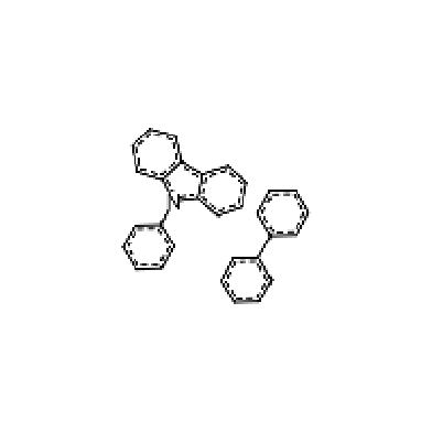 c1ccc(-c2ccccc2)cc1.c1ccc(-n2c3ccccc3c3ccccc32)cc1